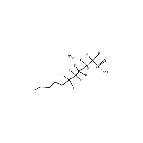 CCCCCC(F)(F)C(F)(F)C(F)(F)C(F)(F)C(F)(F)S(=O)(=O)O.N